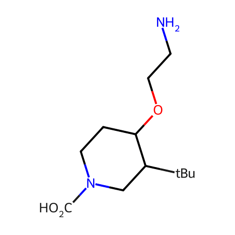 CC(C)(C)C1CN(C(=O)O)CCC1OCCN